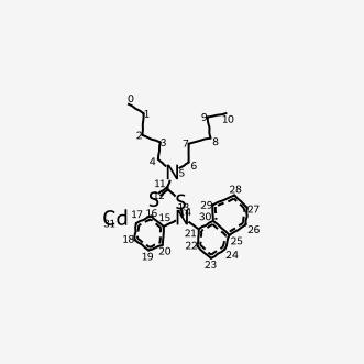 CCCCCN(CCCCC)C(=S)SN(c1ccccc1)c1cccc2ccccc12.[Cd]